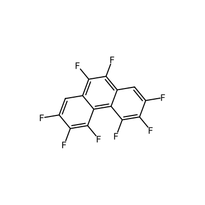 Fc1cc2c(F)c(F)c3cc(F)c(F)c(F)c3c2c(F)c1F